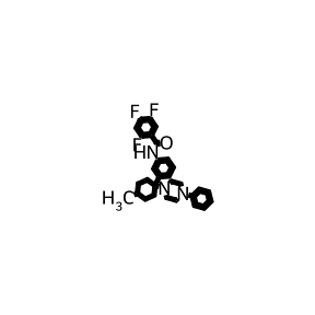 CC1CCC(c2cccc(NC(=O)c3cc(F)c(F)cc3F)c2)(N2CCN(c3ccccc3)CC2)CC1